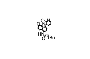 CC(C)(C)OC(=O)Nc1ccc(C2([N+](=O)[O-])C=CC=NC2Cl)c2ccccc12